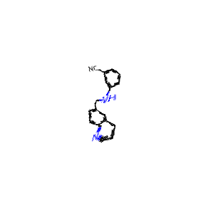 N#Cc1cccc(NCc2ccc3ncccc3c2)c1